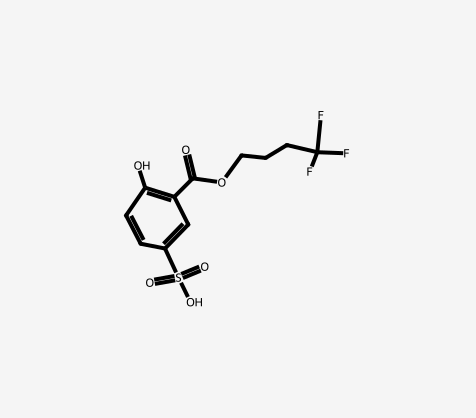 O=C(OCCCC(F)(F)F)c1cc(S(=O)(=O)O)ccc1O